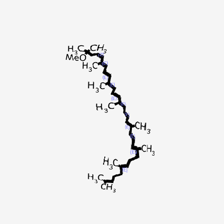 COC(C)(C)C\C=C/C(C)=C/C=C/C(C)=C/C=C/C(C)=C/C=C/C=C(C)/C=C/C=C(\C)CC/C=C(\C)CCC=C(C)C